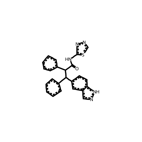 O=C(Nc1nncs1)C(c1ccccc1)C(c1ccccc1)c1ccc2[nH]ncc2c1